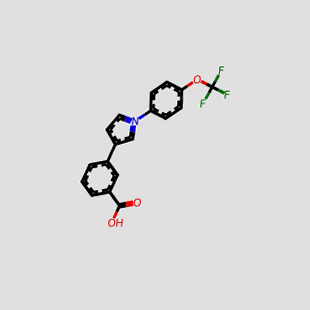 O=C(O)c1cccc(-c2ccn(-c3ccc(OC(F)(F)F)cc3)c2)c1